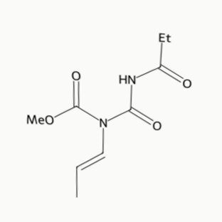 CC=CN(C(=O)NC(=O)CC)C(=O)OC